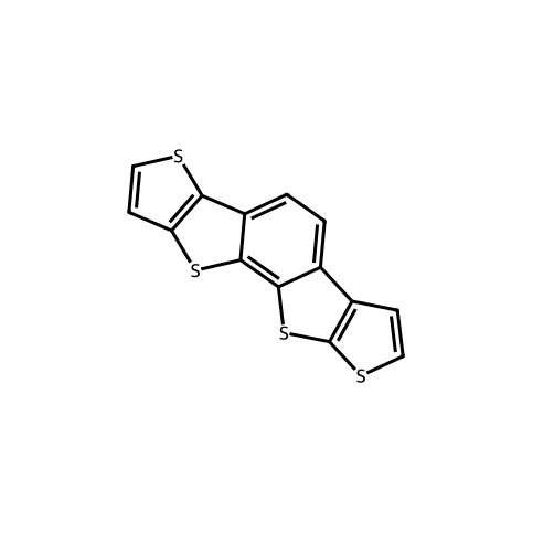 c1cc2c(s1)sc1c2ccc2c3sccc3sc21